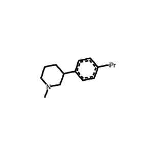 CC(C)c1ccc(C2CCCN(C)C2)cc1